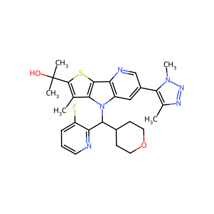 Cc1nnn(C)c1-c1cnc2c3sc(C(C)(C)O)c(C)c3n(C(c3ncccc3F)C3CCOCC3)c2c1